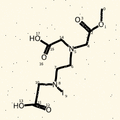 COC(=O)CN(CCN(I)CC(=O)O)CC(=O)O